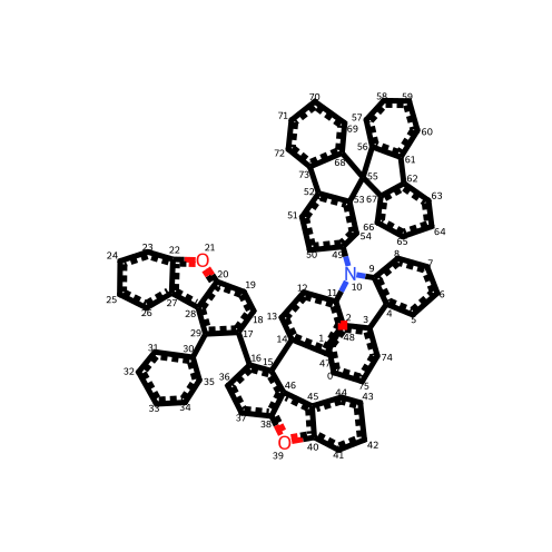 c1ccc(-c2ccccc2N(c2ccc(-c3c(-c4ccc5oc6ccccc6c5c4-c4ccccc4)ccc4oc5ccccc5c34)cc2)c2ccc3c(c2)C2(c4ccccc4-c4ccccc42)c2ccccc2-3)cc1